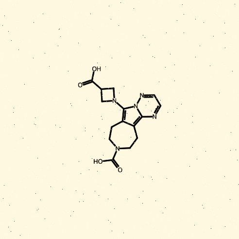 O=C(O)C1CN(c2c3c(c4nccnn24)CCN(C(=O)O)CC3)C1